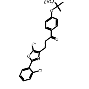 CCOC(=O)C(C)(C)Oc1ccc(C(=O)CCc2nc(-c3ccccc3Cl)oc2C(C)C)cc1